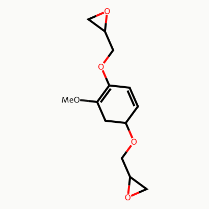 COC1=C(OCC2CO2)C=CC(OCC2CO2)C1